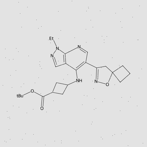 CCn1ncc2c(NC3CC(C(=O)OC(C)(C)C)C3)c(C3=NOC4(CCC4)C3)cnc21